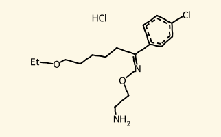 CCOCCCCCC(=NOCCN)c1ccc(Cl)cc1.Cl